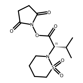 CC(C)[C@@H](C(=O)ON1C(=O)CCC1=O)N1CCCCS1(=O)=O